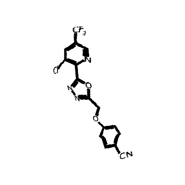 N#Cc1ccc(OCc2nnc(-c3ncc(C(F)(F)F)cc3Cl)o2)cc1